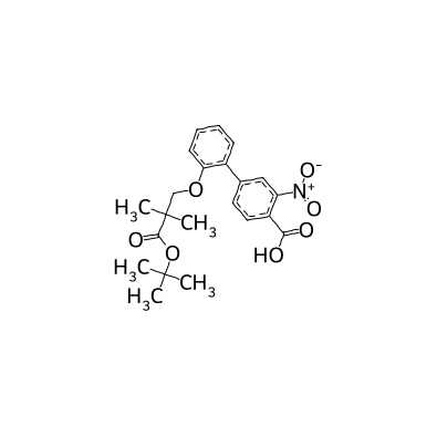 CC(C)(C)OC(=O)C(C)(C)COc1ccccc1-c1ccc(C(=O)O)c([N+](=O)[O-])c1